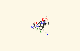 Cc1cc2c(O[C@@H](C)[C@@H]3CCCN3C)nc3c(F)c(Br)c(CCC#N)cc3c2n1[C@H]1[C@@H]2C[C@H]1N(C(=O)OC(C)(C)C)C2